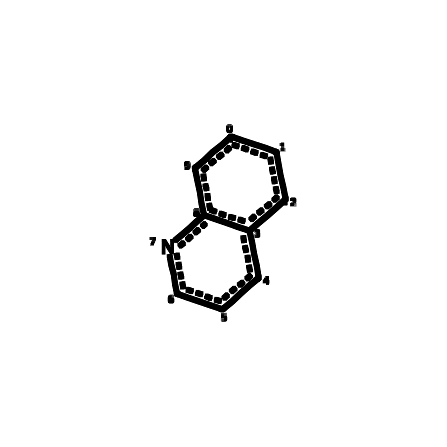 [c]1c[c]c2cccnc2c1